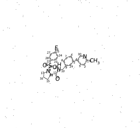 Cc1ccc(-c2cccc(CNC(=O)[C@@H]3CCCN3S(=O)(=O)c3ccc(F)cc3)c2)cn1